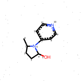 CC1CCC(O)N1c1ccncc1